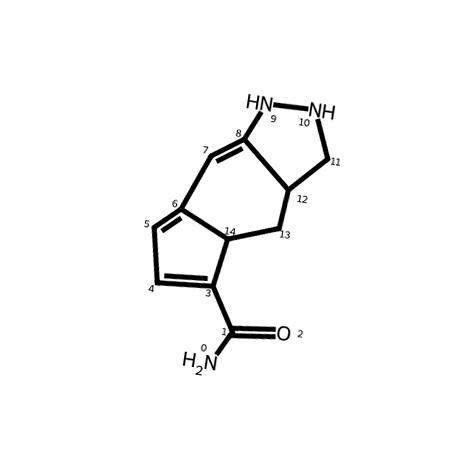 NC(=O)C1=CC=C2C=C3NNCC3CC21